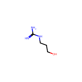 N=C(N)NCCCO